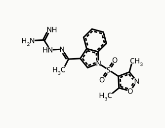 CC(=NNC(=N)N)c1cn(S(=O)(=O)c2c(C)noc2C)c2ccccc12